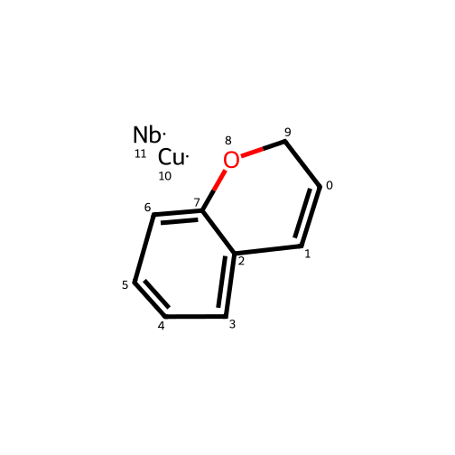 C1=Cc2ccccc2OC1.[Cu].[Nb]